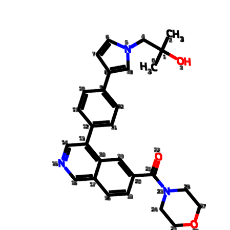 CC(C)(O)Cn1ccc(-c2ccc(-c3cncc4ccc(C(=O)N5CCOCC5)cc34)cc2)c1